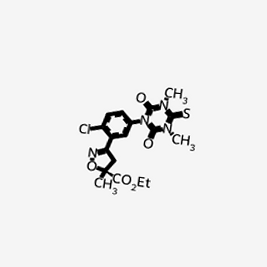 CCOC(=O)[C@]1(C)CC(c2cc(-n3c(=O)n(C)c(=S)n(C)c3=O)ccc2Cl)=NO1